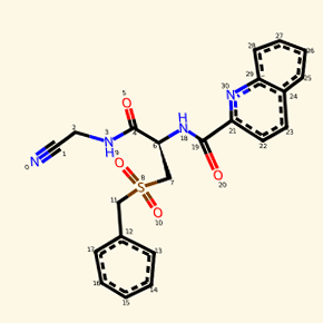 N#CCNC(=O)[C@H](CS(=O)(=O)Cc1ccccc1)NC(=O)c1ccc2ccccc2n1